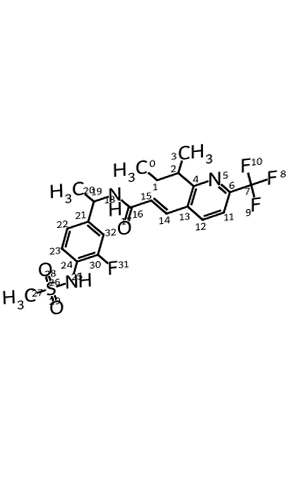 CCC(C)c1nc(C(F)(F)F)ccc1C=CC(=O)NC(C)c1ccc(NS(C)(=O)=O)c(F)c1